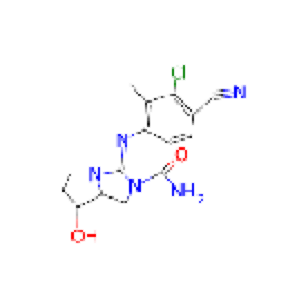 Cc1c(/N=C2\N(C(N)=O)CC3C(O)CCN23)ccc(C#N)c1Cl